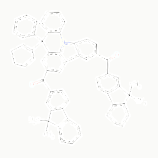 CC1(C)c2ccccc2-c2ccc(C(=O)c3ccc4c(c3)c3cc(C(=O)c5ccc6c(c5)C(C)(C)c5ccccc5-6)cc5c3n4-c3ccccc3C5(C3=CCCC=C3)c3ccccc3)cc21